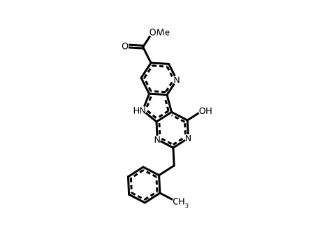 COC(=O)c1cnc2c(c1)[nH]c1nc(Cc3ccccc3C)nc(O)c12